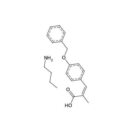 CC(=Cc1ccc(OCc2ccccc2)cc1)C(=O)O.CCCCN